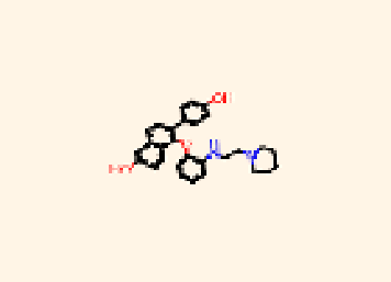 Oc1ccc(-c2ccc3cc(O)ccc3c2Oc2ccccc2NCCN2CCCCC2)cc1